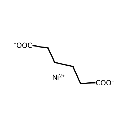 O=C([O-])CCCCC(=O)[O-].[Ni+2]